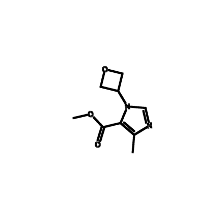 COC(=O)c1c(C)ncn1C1COC1